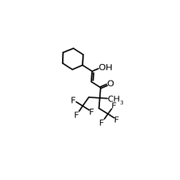 CC(CC(F)(F)F)(CC(F)(F)F)C(=O)/C=C(\O)C1CCCCC1